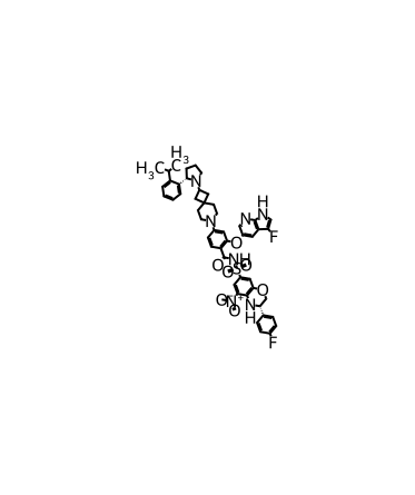 CC(C)c1ccccc1[C@@H]1CCCN1C1CC2(CCN(c3ccc(C(=O)NS(=O)(=O)c4cc5c(c([N+](=O)[O-])c4)N[C@@H](c4ccc(F)cc4)CO5)c(Oc4cnc5[nH]cc(F)c5c4)c3)CC2)C1